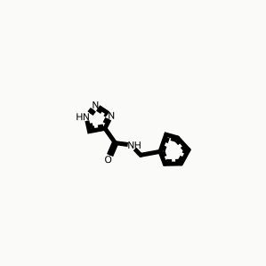 O=C(NCc1ccccc1)c1c[nH]nn1